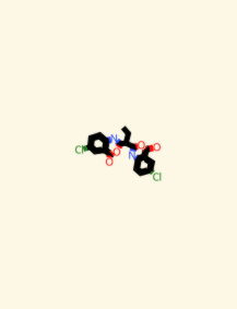 CCC(c1nc2ccc(Cl)cc2c(=O)o1)c1nc2ccc(Cl)cc2c(=O)o1